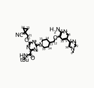 Cn1cnc(-c2cnc(N)c(OCC3CCN(c4nc(OCC5(C#N)CC5)nc(C(=O)NC(C)(C)C)n4)CC3)c2)c1